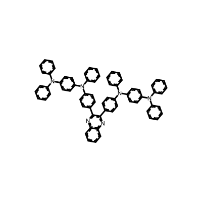 c1ccc(N(c2ccccc2)c2ccc(N(c3ccccc3)c3ccc(-c4nc5ccccc5nc4-c4ccc(N(c5ccccc5)c5ccc(N(c6ccccc6)c6ccccc6)cc5)cc4)cc3)cc2)cc1